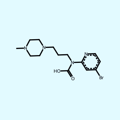 CN1CCN(CCCN(C(=O)O)c2cc(Br)ccn2)CC1